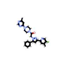 Cc1cc(N2CCN(C(=O)Cn3nc(-c4cc(C)c(F)cn4)cc3-c3ccccc3)CC2)ncn1